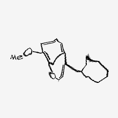 COc1cccc2c(C3CCCCC3)[c]oc12